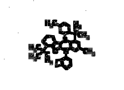 Cc1ccc2c(c1)B1c3c(cc(C)cc3C2(C)C)N(c2cccc3c2CC3)c2oc3c(C(C)(C)C)cccc3c21